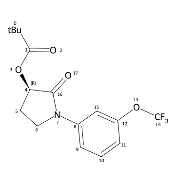 CC(C)(C)C(=O)O[C@@H]1CCN(c2cccc(OC(F)(F)F)c2)C1=O